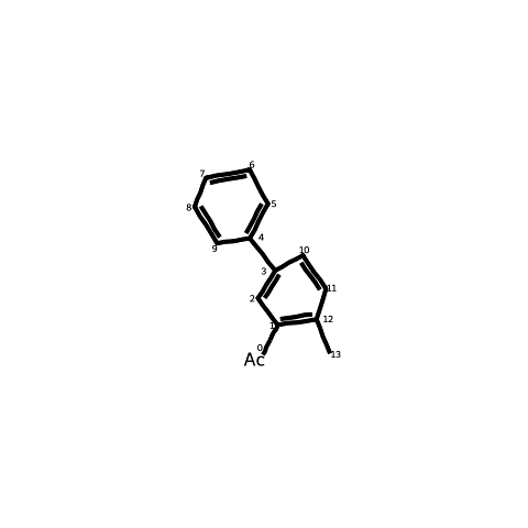 CC(=O)c1cc(-c2ccccc2)ccc1C